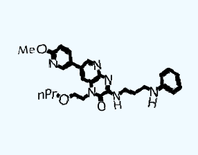 CCCOCCn1c(=O)c(NCCCNc2ccccc2)nc2ncc(-c3ccc(OC)nc3)cc21